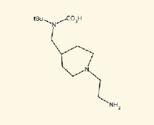 CC(C)(C)N(CC1CCN(CCN)CC1)C(=O)O